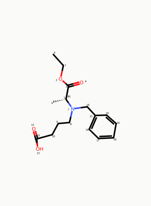 CCOC(=O)[C@@H](C)N(CCCC(=O)O)Cc1ccccc1